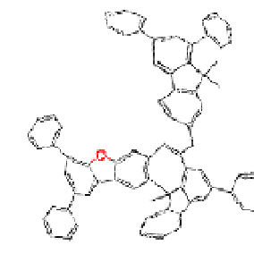 CC1(C)c2cc(CC3=Cc4cc5oc6c(-c7ccccc7)cc(-c7ccccc7)cc6c5cc4C4(C)c5ccccc5-c5cc(-c6ccccc6)cc3c54)ccc2-c2cc(-c3ccccc3)cc(-c3ccccc3)c21